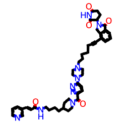 O=C(/C=C/c1cccnc1)NCCCCC1CCN(C(=O)c2ccc(N3CCN(CCCCCC#Cc4cccc5c4CN(C4CCC(=O)NC4=O)C5=O)CC3)nn2)CC1